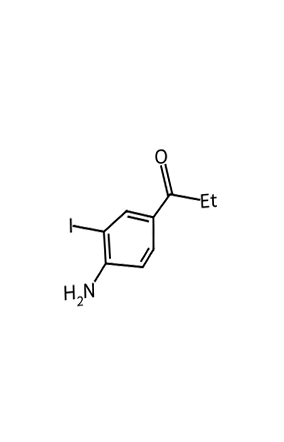 CCC(=O)c1ccc(N)c(I)c1